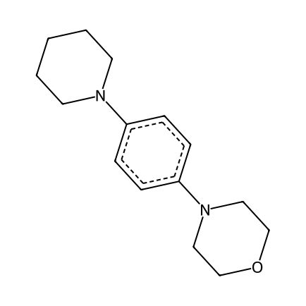 c1cc(N2CCOCC2)ccc1N1CCCCC1